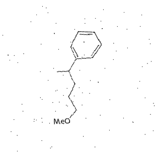 [CH2]OCCCC(C)c1ccccc1